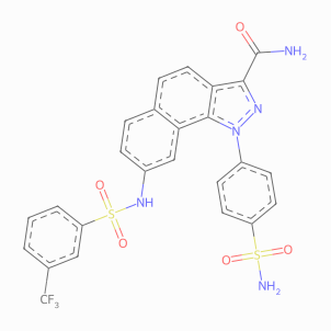 NC(=O)c1nn(-c2ccc(S(N)(=O)=O)cc2)c2c1ccc1ccc(NS(=O)(=O)c3cccc(C(F)(F)F)c3)cc12